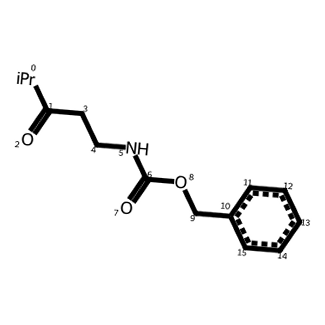 CC(C)C(=O)CCNC(=O)OCc1ccccc1